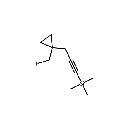 C[Si](C)(C)C#CCC1(CI)CC1